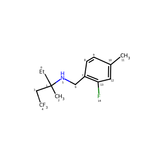 CCC(C)(CC(F)(F)F)NCc1ccc(C)cc1F